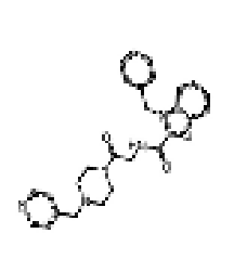 O=C(NCC(=O)N1CCN(Cc2ccncc2)CC1)c1nc2ccccc2n1Cc1ccccc1